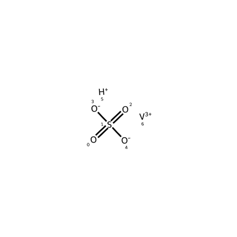 O=S(=O)([O-])[O-].[H+].[V+3]